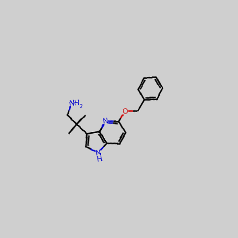 CC(C)(CN)c1c[nH]c2ccc(OCc3ccccc3)nc12